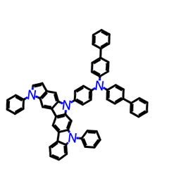 c1ccc(-c2ccc(N(c3ccc(-c4ccccc4)cc3)c3ccc(-n4c5cc6ccn(-c7ccccc7)c6cc5c5cc6c7ccccc7n(-c7ccccc7)c6cc54)cc3)cc2)cc1